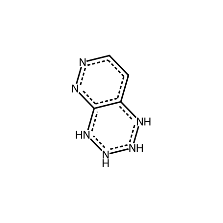 c1cc2[nH][nH][nH][nH]c2nn1